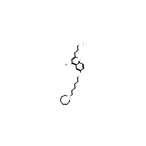 CCCCc1cc(OC)c2cc(OCCCCCCN3CCCCCC3)ccc2n1